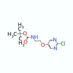 CC(C)(C)OC(=O)NCCOc1cnc(Cl)nc1